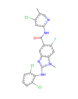 Cc1cnc(NC(=O)c2cc3nc(Nc4c(Cl)cccc4Cl)n(C)c3cc2F)cc1Cl